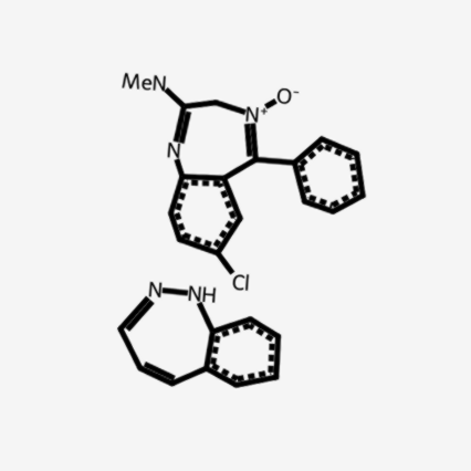 C1=Cc2ccccc2NN=C1.CNC1=Nc2ccc(Cl)cc2C(c2ccccc2)=[N+]([O-])C1